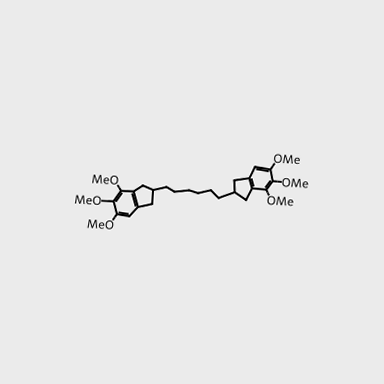 COc1cc2c(c(OC)c1OC)CC(CCCCCCC1Cc3cc(OC)c(OC)c(OC)c3C1)C2